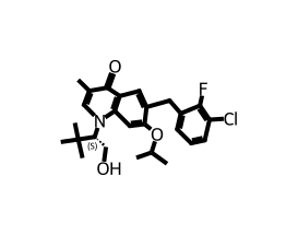 Cc1cn([C@H](CO)C(C)(C)C)c2cc(OC(C)C)c(Cc3cccc(Cl)c3F)cc2c1=O